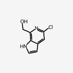 OCc1nc(Cl)cc2cc[nH]c12